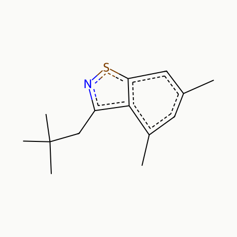 Cc1cc(C)c2c(CC(C)(C)C)nsc2c1